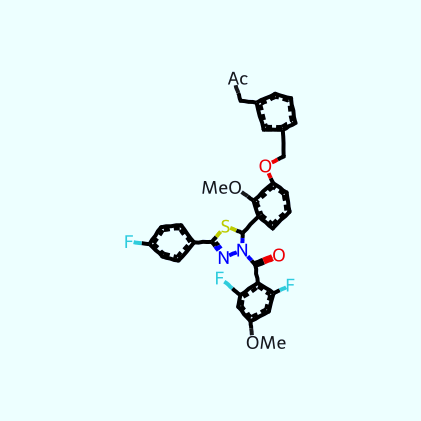 COc1cc(F)c(C(=O)N2N=C(c3ccc(F)cc3)SC2c2cccc(OCc3cccc(CC(C)=O)c3)c2OC)c(F)c1